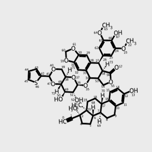 C#C[C@]1(O)CC[C@H]2[C@@H]3CCc4cc(O)ccc4[C@H]3CC[C@@]21C.COc1cc([C@@H]2c3cc4c(cc3C(O[C@@H]3O[C@@H]5COC(c6cccs6)O[C@H]5[C@H](O)[C@H]3O)C3COC(=O)[C@@H]32)OCO4)cc(OC)c1O